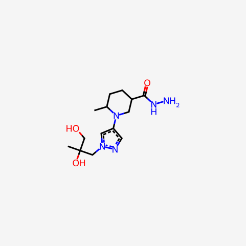 CC1CCC(C(=O)NN)CN1c1cnn(CC(C)(O)CO)c1